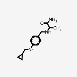 CC(NCc1ccc(NCC2CC2)cc1)C(N)=O